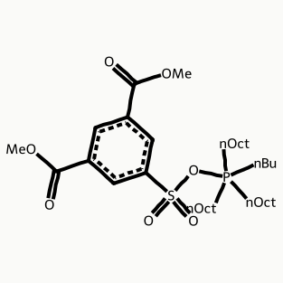 CCCCCCCCP(CCCC)(CCCCCCCC)(CCCCCCCC)OS(=O)(=O)c1cc(C(=O)OC)cc(C(=O)OC)c1